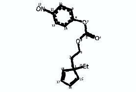 CCC1(CCOC(=O)Oc2ccc(N=O)cc2)C=CC=C1